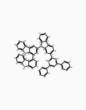 c1ccc(-c2cc(-c3ccccc3)nc(-c3ccc4c5ccccc5n(-c5cc(-c6cccc7sc8ccccc8c67)c6oc7ccccc7c6c5)c4c3)n2)cc1